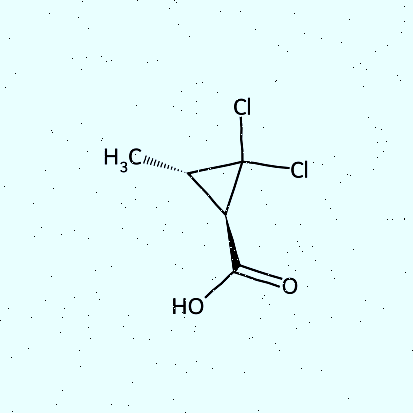 C[C@H]1[C@H](C(=O)O)C1(Cl)Cl